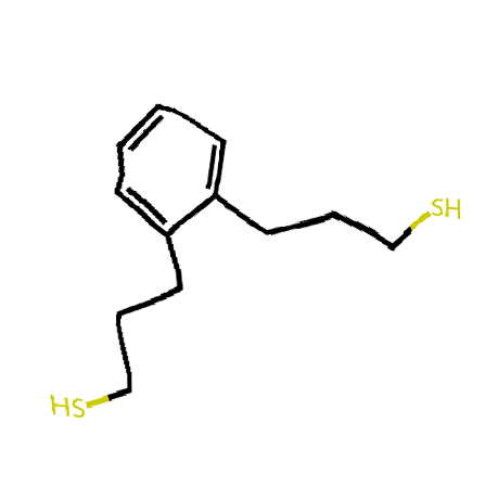 SCCCc1ccccc1CCCS